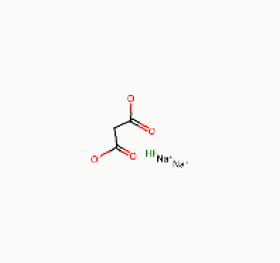 F.O=C([O-])CC(=O)[O-].[Na+].[Na+]